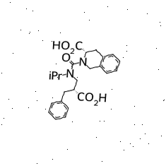 CC(C)N(C[C@@H](Cc1ccccc1)C(=O)O)C(=O)N1Cc2ccccc2C[C@H]1C(=O)O